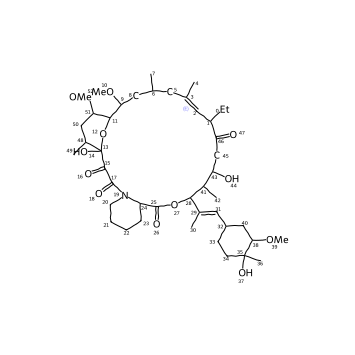 CCC1/C=C(\C)CC(C)CC(OC)C2OC(O)(C(=O)C(=O)N3CCCCC3C(=O)OC(C(C)=CC3CCC(C)(O)C(OC)C3)C(C)C(O)CC1=O)C(C)CC2OC